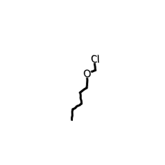 CCCCCOCCl